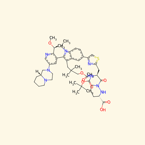 CCn1c(-c2cc(N3CCN4CCCC[C@@H]4C3)cnc2[C@H](C)OC)c(CC(C)(C)COC(C)=O)c2cc(-c3csc(C[C@H](NC(=O)OC(C)(C)C)C(=O)N4CCC[C@@H](C(=O)O)N4)n3)ccc21